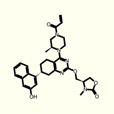 C=CC(=O)N1CCN(c2nc(OC[C@H]3COC(=O)N3C)nc3c2CC[C@@H](c2cc(O)cc4ccccc24)C3)[C@@H](C)C1